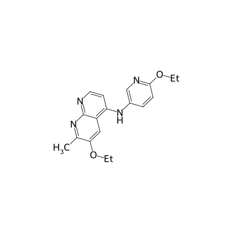 CCOc1ccc(Nc2ccnc3nc(C)c(OCC)cc23)cn1